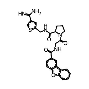 N=C(N)c1csc(CNC(=O)C2CCCN2C(=O)CNC(=O)c2ccc3oc4ccccc4c3c2)c1